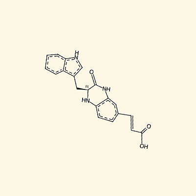 O=C(O)C=Cc1ccc2c(c1)NC(=O)[C@H](Cc1c[nH]c3ccccc13)N2